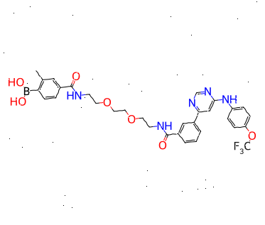 Cc1cc(C(=O)NCCOCCOCCNC(=O)c2cccc(-c3cc(Nc4ccc(OC(F)(F)F)cc4)ncn3)c2)ccc1B(O)O